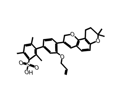 C=CCOc1cc(-c2c(C)cc(C)c(S(=O)(=O)O)c2C)ccc1C1=Cc2ccc3c(c2OC1)CCC(C)(C)O3